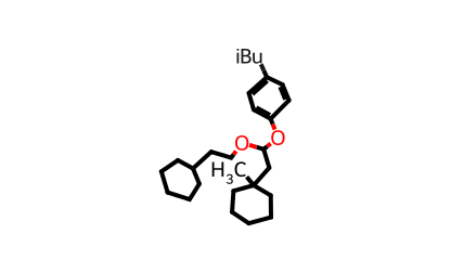 CCC(C)c1ccc(OC(CC2(C)CCCCC2)OCCC2CCCCC2)cc1